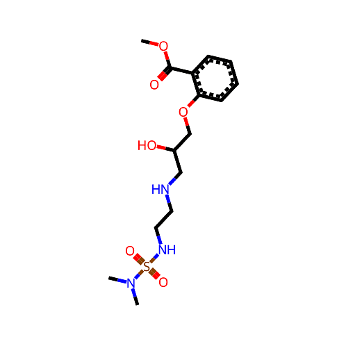 COC(=O)c1ccccc1OCC(O)CNCCNS(=O)(=O)N(C)C